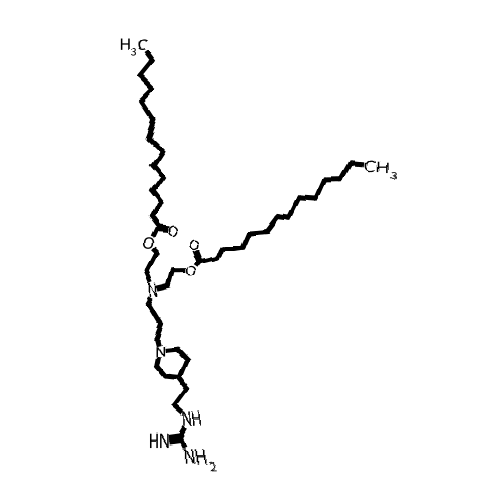 CCCCCCCCCCCCCC(=O)OCCN(CCCN1CCC(CCNC(=N)N)CC1)CCOC(=O)CCCCCCCCCCCCC